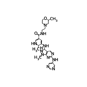 CC1CN(CCNC(=O)C2=CNC(C)C(NC3NN(C)c4nc(Nc5cncnc5)ncc43)=C2)CCO1